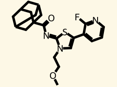 COCCn1cc(-c2cccnc2F)sc1=NC(=O)C12CC3CC(CC(C3)C1)C2